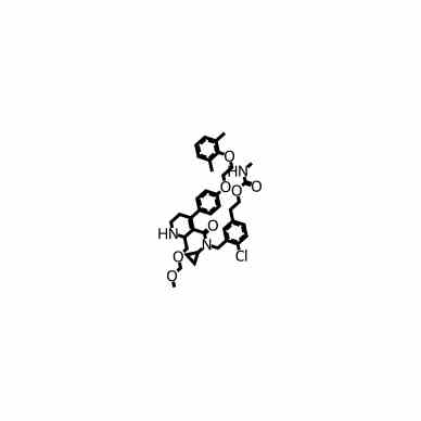 CNC(=O)OCCc1ccc(Cl)c(CN(C(=O)C2=C(c3ccc(OCCOc4c(C)cccc4C)cc3)CCNC2COCOC)C2CC2)c1